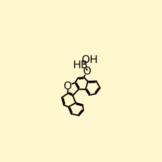 OBOc1cc2oc3ccc4ccccc4c3c2c2ccccc12